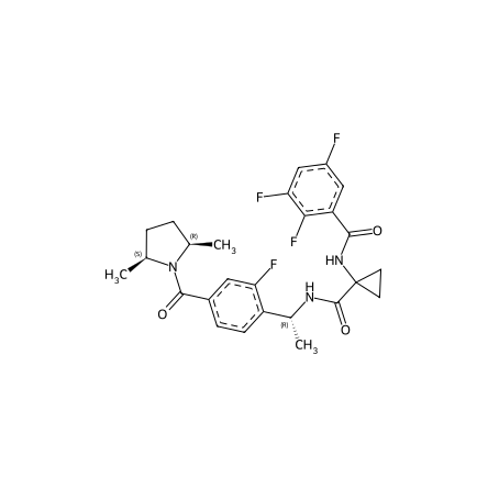 C[C@@H]1CC[C@H](C)N1C(=O)c1ccc([C@@H](C)NC(=O)C2(NC(=O)c3cc(F)cc(F)c3F)CC2)c(F)c1